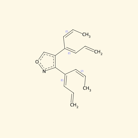 C=C/C=C(\C=C/C)c1conc1C(/C=C\C)=C/C=C